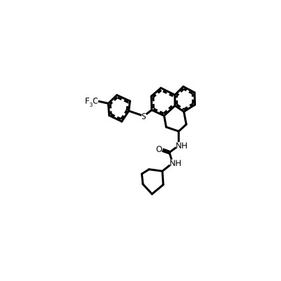 O=C(NC1CCCCC1)NC1Cc2cccc3ccc(Sc4ccc(C(F)(F)F)cc4)c(c23)C1